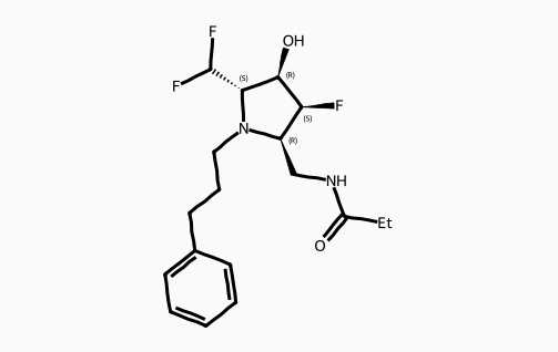 CCC(=O)NC[C@@H]1[C@H](F)[C@H](O)[C@@H](C(F)F)N1CCCc1ccccc1